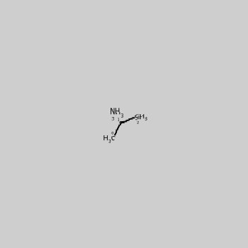 CC[SiH3].N